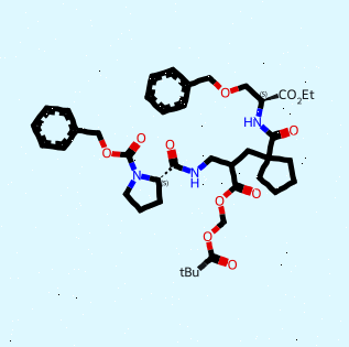 CCOC(=O)[C@H](COCc1ccccc1)NC(=O)C1(CC(CNC(=O)[C@@H]2CCCN2C(=O)OCc2ccccc2)C(=O)OCOC(=O)C(C)(C)C)CCCC1